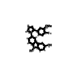 CCn1c2ccc(O)cc2c2cc(-n3nncc3-c3ccc(F)c(OC)c3)ccc21